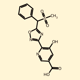 CS(=O)(=O)C(c1ccccc1)c1nc(-c2ncc(C(=O)O)cc2O)no1